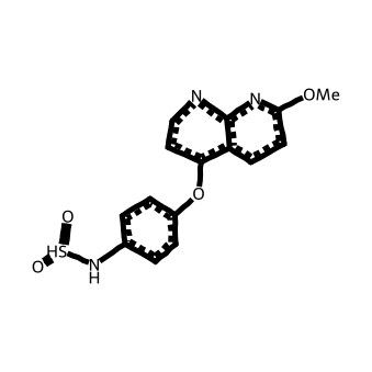 COc1ccc2c(Oc3ccc(N[SH](=O)=O)cc3)ccnc2n1